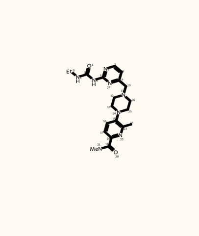 CCNC(=O)Nc1nccc(CN2CCN(c3ccc(C(=O)NC)nc3C)CC2)n1